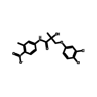 Cc1cc(NC(=O)C(C)(O)COc2ccc(Cl)c(Cl)c2)ccc1[N+](=O)[O-]